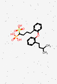 CC(C)CCc1ccccc1Oc1ccccc1CCCC(P(=O)(O)O)S(=O)(=O)O